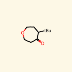 CC(C)(C)C1CCOCCC1=O